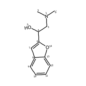 [CH2]N(C)CC(O)c1cc2ccccc2o1